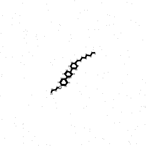 CCCCCCCCC1CC=C(c2ccc(-c3ccc(OCCCC)cc3)cc2)CC1